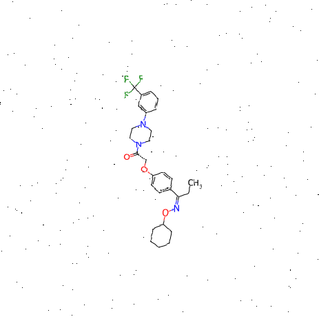 CCC(=NOC1CCCCC1)c1ccc(OCC(=O)N2CCN(c3cccc(C(F)(F)F)c3)CC2)cc1